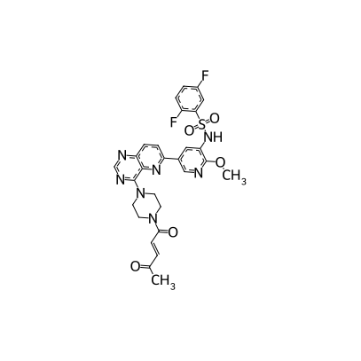 COc1ncc(-c2ccc3ncnc(N4CCN(C(=O)/C=C/C(C)=O)CC4)c3n2)cc1NS(=O)(=O)c1cc(F)ccc1F